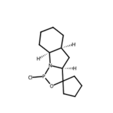 ClP1OC2(CCCC2)[C@@H]2C[C@@H]3CCCC[C@@H]3N21